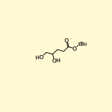 CC(C)(C)OC(=O)CCC(O)CO